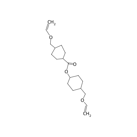 C=COCC1CCC(OC(=O)C2CCC(COC=C)CC2)CC1